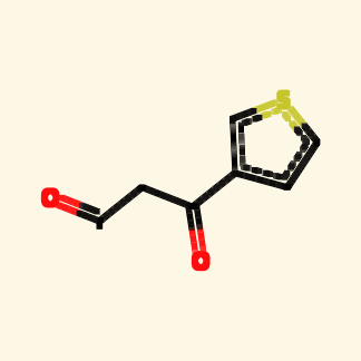 O=[C]CC(=O)c1ccsc1